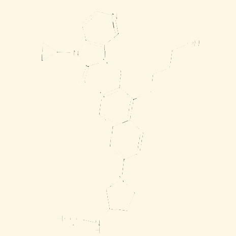 O=C(O)NC1CCN(c2ccc3c(CCCCO)c(Cn4c(=O)n(C5CC5)c5ccncc54)ncc3c2)C1